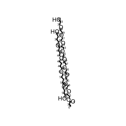 C=CC(=O)OCCOCCOCCOCCOCCOCCOCCOCCOCCOCCO.OCCCCOCCCCOCCCCOCCCCOCCCCO